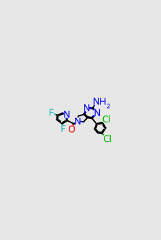 Nc1nc2c(c(-c3ccc(Cl)cc3Cl)n1)CN(C(=O)c1ncc(F)cc1F)C2